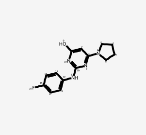 Oc1cc(N2CCCC2)nc(Nc2ccc(F)cc2)n1